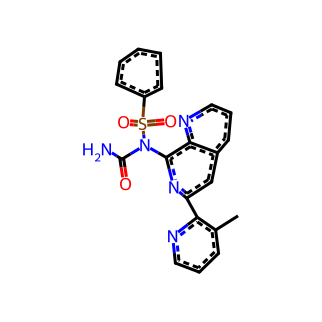 Cc1cccnc1-c1cc2cccnc2c(N(C(N)=O)S(=O)(=O)c2ccccc2)n1